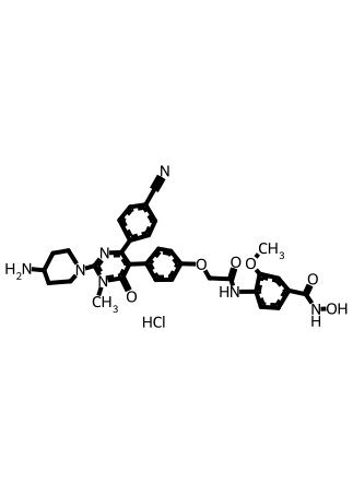 COc1cc(C(=O)NO)ccc1NC(=O)COc1ccc(-c2c(-c3ccc(C#N)cc3)nc(N3CCC(N)CC3)n(C)c2=O)cc1.Cl